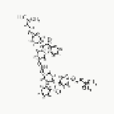 CCC(=C(c1ccc(OBOc2ccc(C(=C(CC)c3ccccc3)c3ccc(OCCN(C)C)cc3)cc2)cc1)c1ccc(OCCN(C)C)cc1)c1ccccc1